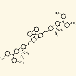 Cc1cccc(N(c2cccc(C)c2)c2ccc3c(c2)C(C)(C)c2cc(/C=C/c4ccc5c(c4)C4(c6ccccc6-c6ccccc64)c4cc(/C=C/c6ccc7c(c6)C(C)(C)c6cc(N(c8cccc(C)c8)c8cccc(C)c8)ccc6-7)ccc4-5)ccc2-3)c1